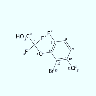 O=C(O)C(F)(F)Oc1c(F)ccc(C(F)(F)F)c1Br